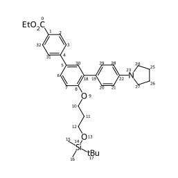 CCOC(=O)c1ccc(-c2ccc(OCCCO[Si](C)(C)C(C)(C)C)c(-c3ccc(N4CCCC4)cc3)c2)cc1